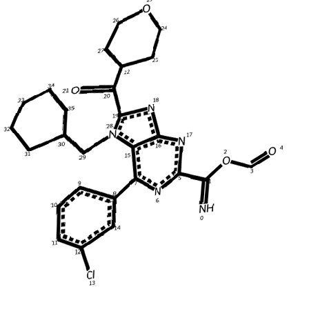 N=C(OC=O)c1nc(-c2cccc(Cl)c2)c2c(n1)nc(C(=O)C1CCOCC1)n2CC1CCCCC1